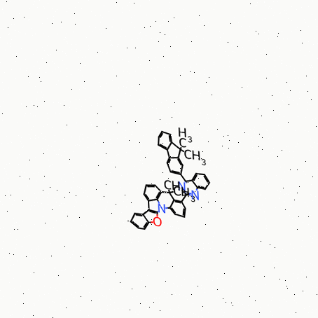 CC1(C)c2ccccc2-c2ccc(-c3nc(-c4cccc5c4C(C)(C)c4cccc6c7c8ccccc8oc7n-5c46)nc4ccccc34)cc21